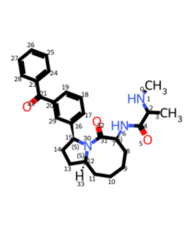 CNC(C)C(=O)N[C@H]1CCCC[C@H]2CC[C@@H](c3cccc(C(=O)c4ccccc4)c3)N2C1=O